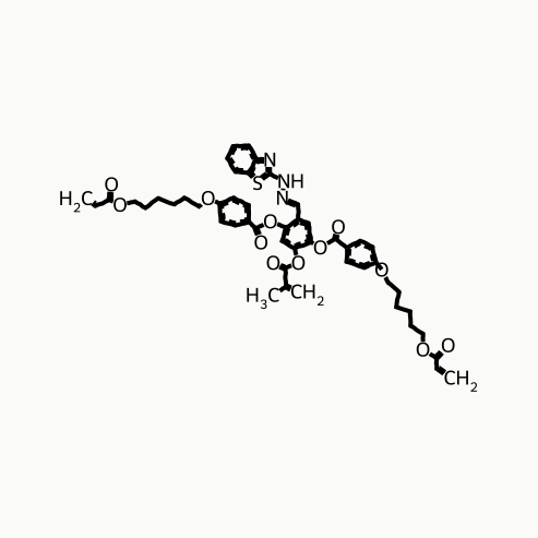 C=CC(=O)OCCCCCCOc1ccc(C(=O)Oc2cc(OC(=O)C(=C)C)c(OC(=O)c3ccc(OCCCCCCOC(=O)C=C)cc3)cc2/C=N/Nc2nc3ccccc3s2)cc1